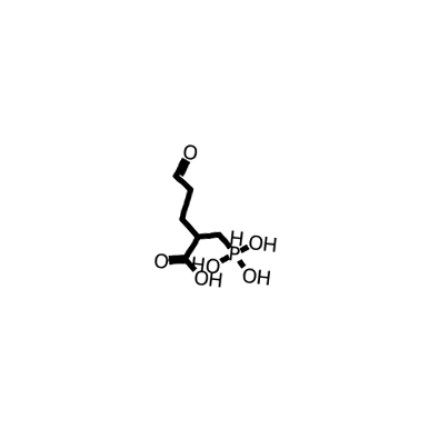 O=CCCC(C[PH](O)(O)O)C(=O)O